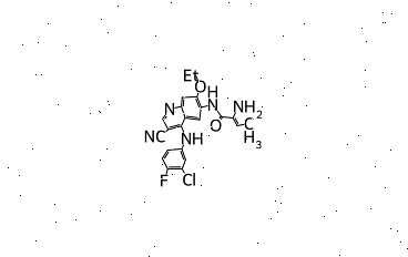 C/C=C(\N)C(=O)Nc1cc2c(Nc3ccc(F)c(Cl)c3)c(C#N)cnc2cc1OCC